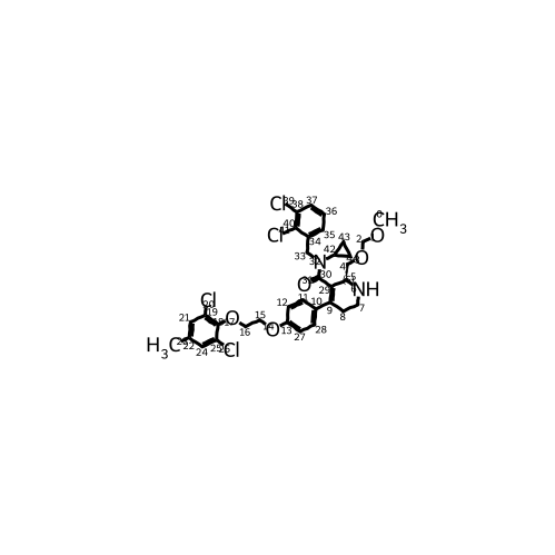 COCOC[C@H]1NCCC(c2ccc(OCCOc3c(Cl)cc(C)cc3Cl)cc2)=C1C(=O)N(Cc1cccc(Cl)c1Cl)C1CC1